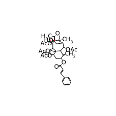 C=C1C(OC(=O)C=Cc2ccccc2)CC(OC(C)=O)C2(C)C(OC(C)=O)C(OC(C)=O)C3(O)C4(C)OCC3(C)C(CC4=O)C(OC(C)=O)C12